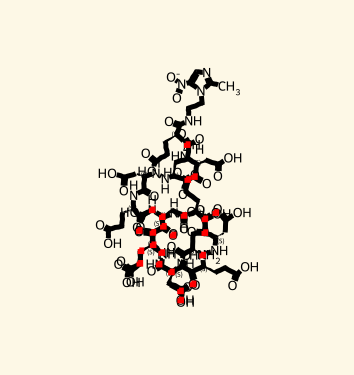 Cc1ncc([N+](=O)[O-])n1CCNC(=O)[C@H](CCC(=O)O)NN[C@@H](CC(=O)O)C(=O)C(=O)[C@H](CCC(=O)O)NN[C@@H](CC(=O)O)C(=O)N[C@@H](CCC(=O)O)C(=O)N[C@@H](CC(=O)O)C(=O)C(=O)[C@H](CCC(=O)O)NN[C@@H](CC(=O)O)C(=O)C(=O)[C@H](CCC(=O)O)NN[C@@H](CC(=O)O)C(=O)C(=O)[C@H](CCC(=O)O)NN[C@@H](CC(=O)O)C(=O)C(=O)[C@H](CCC(=O)O)NC(=O)[C@H](CC(=O)O)NC(=O)[C@@H](N)CCC(=O)O